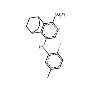 CCOC(=O)c1ncc(Nc2cc(C)ccc2F)c2c1C1CCC2CC1